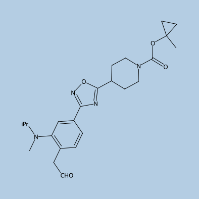 CC(C)N(C)c1cc(-c2noc(C3CCN(C(=O)OC4(C)CC4)CC3)n2)ccc1CC=O